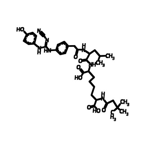 CC(C)CC(NC(=O)Cc1ccc(NC(=NC#N)Nc2ccc(O)cc2)cc1)C(=O)NC(CCCCC(NC(=O)CC(C)(C)C)C(=O)O)C(=O)O